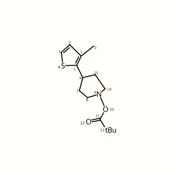 Cc1ccsc1C1CCN(OC(=O)C(C)(C)C)CC1